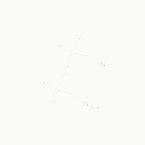 N#CS(=O)(=O)[O-].N#CS(=O)(=O)[O-].[Ca+2]